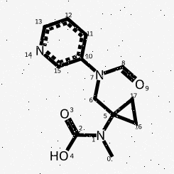 CN(C(=O)O)C1(CN(C=O)c2cccnc2)CC1